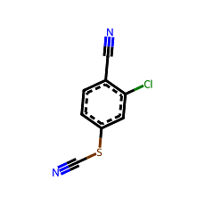 N#CSc1ccc(C#N)c(Cl)c1